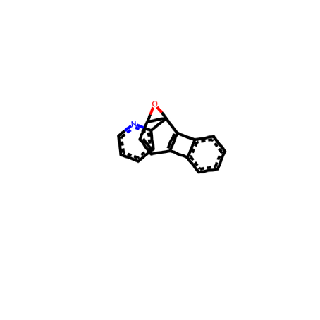 C1=CC2OC2(c2ccccn2)C2=C1c1ccccc12